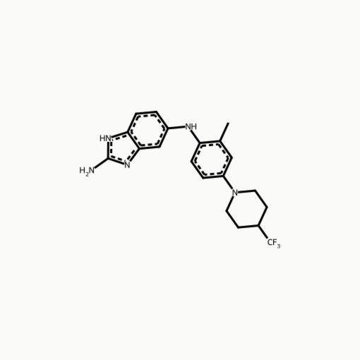 Cc1cc(N2CCC(C(F)(F)F)CC2)ccc1Nc1ccc2[nH]c(N)nc2c1